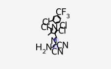 Cc1c(/C=N/C(C#N)=C(\N)C#N)c(Cl)n(-c2c(Cl)cc(C(F)(F)F)cc2Cl)c1Cl